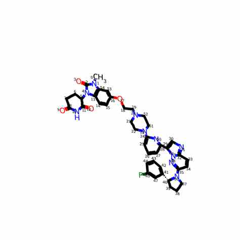 Cn1c(=O)n(C2CCC(=O)NC2=O)c2ccc(OCCN3CCN(c4cccc(-c5cnc6ccc(N7CCC[C@@H]7c7cccc(F)c7)nn56)n4)CC3)cc21